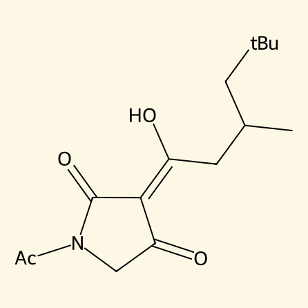 CC(=O)N1CC(=O)/C(=C(/O)CC(C)CC(C)(C)C)C1=O